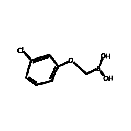 OB(O)COc1cccc(Cl)c1